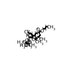 CCCCOC(=O)N1CC(C)N(C(C)=O)C(c2cc(Cl)nc(B3OC(C)(C)C(C)(C)O3)c2)C1